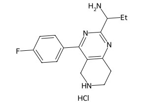 CCC(N)c1nc2c(c(-c3ccc(F)cc3)n1)CNCC2.Cl